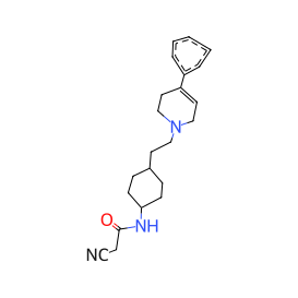 N#CCC(=O)NC1CCC(CCN2CC=C(c3ccccc3)CC2)CC1